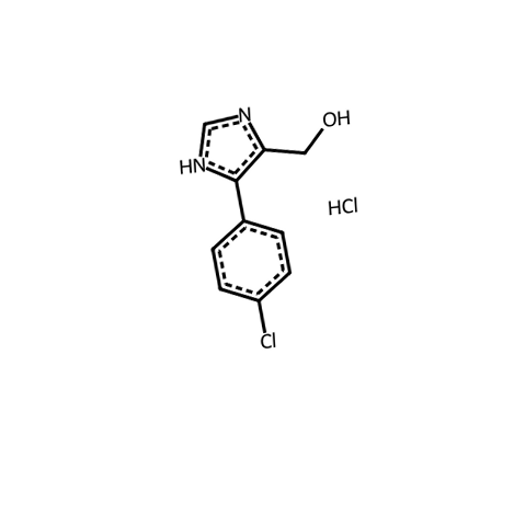 Cl.OCc1nc[nH]c1-c1ccc(Cl)cc1